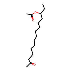 CCC(CCCCCCCCCCC(C)=O)OC(C)=O